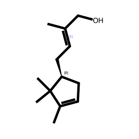 CC1=CC[C@H](C/C=C(\C)CO)C1(C)C